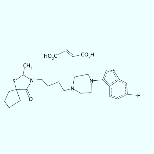 CC1SC2(CCCC2)C(=O)N1CCCCN1CCN(c2csc3cc(F)ccc23)CC1.O=C(O)C=CC(=O)O